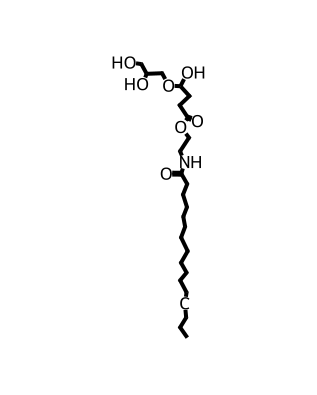 CCCCCCCCCCCCCCCC(=O)NCCOC(=O)CCC(O)OCC(O)CO